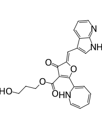 O=C(OCCCO)C1=C(C2=CC=CC=CN2)OC(=Cc2c[nH]c3ncccc23)C1=O